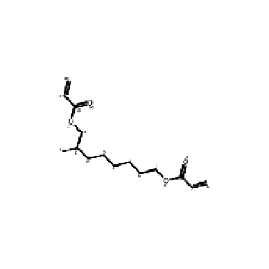 C=CC(=O)OCCCCCCC(C)COC(=O)C=C